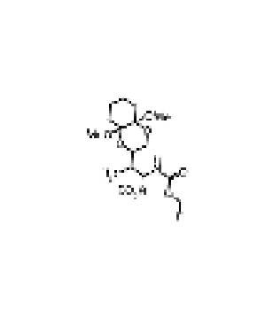 COC12CCCCC1(OC)OC([C@H](C)[C@H](NC(=O)OCF)C(=O)O)CO2